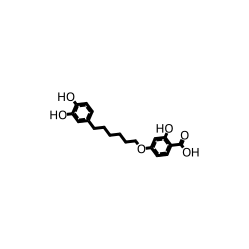 O=C(O)c1ccc(OCCCCCCc2ccc(O)c(O)c2)cc1O